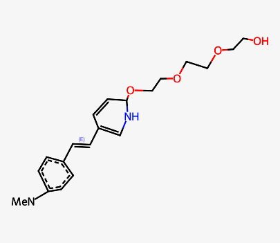 CNc1ccc(/C=C/C2=CNC(OCCOCCOCCO)C=C2)cc1